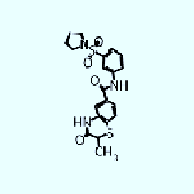 CC1Sc2ccc(C(=O)Nc3cccc(S(=O)(=O)N4CCCC4)c3)cc2NC1=O